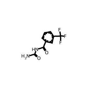 NC(=O)NC(=O)c1cccc(C(F)(F)F)c1